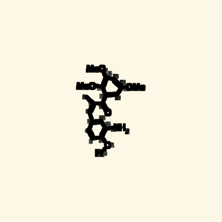 CCOc1ccc(C=C(C)C(=O)c2cc(OC)cc(OC)c2OC)cc1N